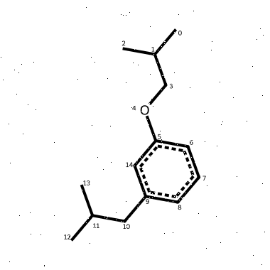 CC(C)COc1cccc(CC(C)C)c1